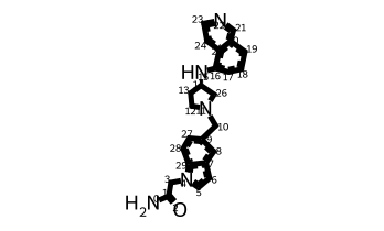 NC(=O)Cn1ccc2cc(CN3CC[C@@H](Nc4cccc5cnccc45)C3)ccc21